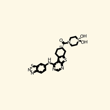 O=C([C@H]1CCc2c(sc3ncnc(Nc4ccc5nnsc5c4)c23)C1)N1CCS(O)(O)CC1